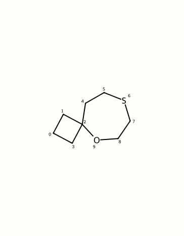 C1CC2(C1)CCSCCO2